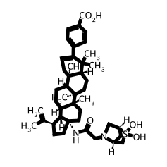 C=C(C)[C@@H]1CC[C@]2(NC(=O)CN3C[C@@H]4C[C@H]3CS4(O)O)CC[C@]3(C)[C@H](CC[C@@H]4[C@@]5(C)CC=C(c6ccc(C(=O)O)cc6)C(C)(C)[C@@H]5CC[C@]43C)[C@@H]12